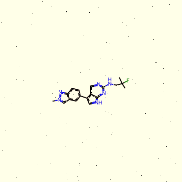 Cn1cc2cc(-c3c[nH]c4nc(NCC(C)(C)F)ncc34)ccc2n1